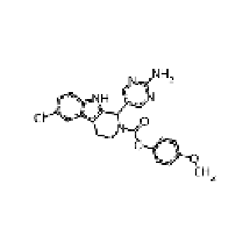 COc1ccc(OC(=O)N2CCc3c([nH]c4ccc(Cl)cc34)C2c2cnc(N)nc2)cc1